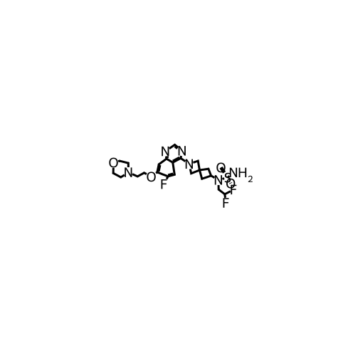 NS(=O)(=O)N(CC(F)F)C1CC2(C1)CN(c1ncnc3cc(OCCN4CCOCC4)c(F)cc13)C2